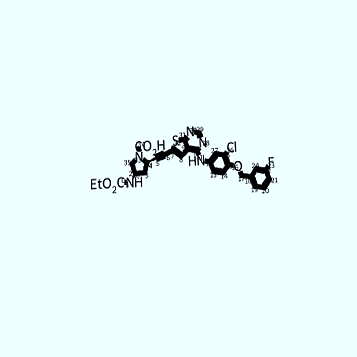 CCOC(=O)N[C@@H]1C[C@H](C#Cc2cc3c(Nc4ccc(OCc5cccc(F)c5)c(Cl)c4)ncnc3s2)N(C(=O)O)C1